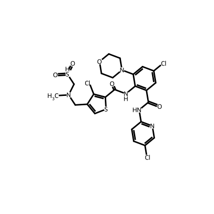 CN(Cc1csc(C(=O)Nc2c(C(=O)Nc3ccc(Cl)cn3)cc(Cl)cc2N2CCOCC2)c1Cl)C[SH](=O)=O